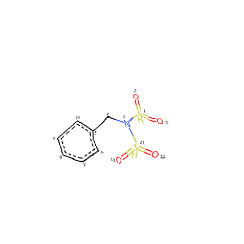 O=[SH](=O)N(Cc1ccccc1)[SH](=O)=O